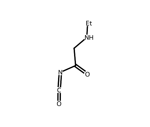 CCNCC(=O)N=C=O